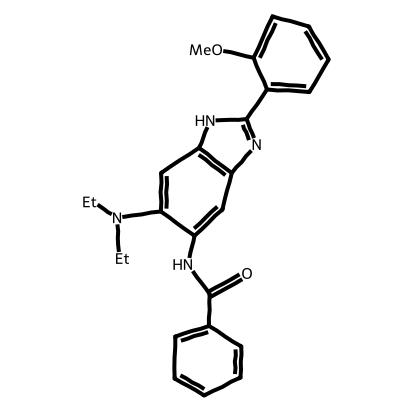 CCN(CC)c1cc2[nH]c(-c3ccccc3OC)nc2cc1NC(=O)c1ccccc1